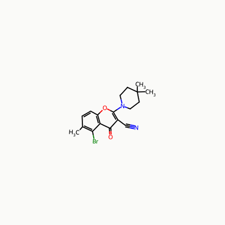 Cc1ccc2oc(N3CCC(C)(C)CC3)c(C#N)c(=O)c2c1Br